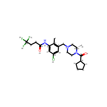 Cc1c(CN2CCN(C(=O)C3CCCC3)[C@@H](C)C2)cc(Cl)cc1NC(=O)CCC(F)(F)F